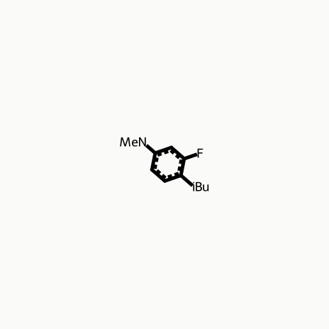 CCC(C)c1ccc(NC)cc1F